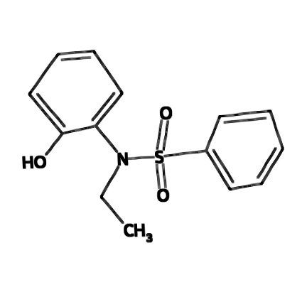 CCN(c1ccccc1O)S(=O)(=O)c1ccccc1